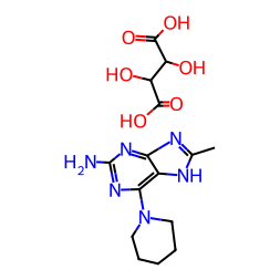 Cc1nc2nc(N)nc(N3CCCCC3)c2[nH]1.O=C(O)C(O)C(O)C(=O)O